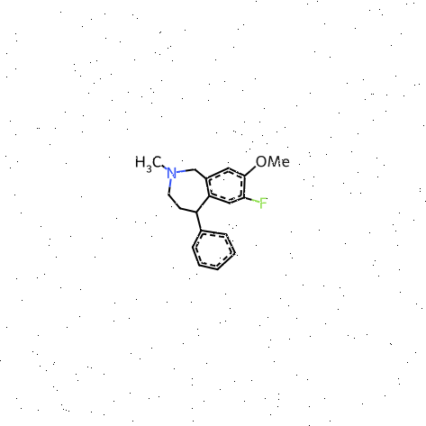 COc1cc2c(cc1F)C(c1ccccc1)CCN(C)C2